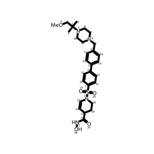 COCC(C)(C)N1CCN(Cc2ccc(-c3ccc(S(=O)(=O)N4C=CC(C(=O)NO)CC4)cc3)cc2)CC1